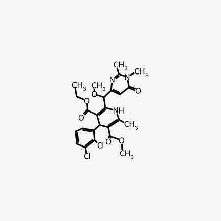 CCOC(=O)C1=C(C(OC)c2cc(=O)n(C)c(C)n2)NC(C)=C(C(=O)OC)C1c1cccc(Cl)c1Cl